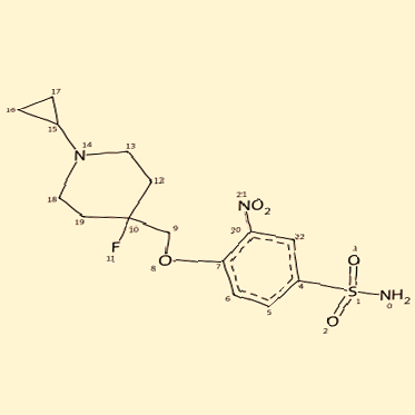 NS(=O)(=O)c1ccc(OCC2(F)CCN(C3CC3)CC2)c([N+](=O)[O-])c1